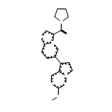 O=C(c1cnc2ccc(-c3ccn4nc(NP)ncc34)cn12)N1CCCC1